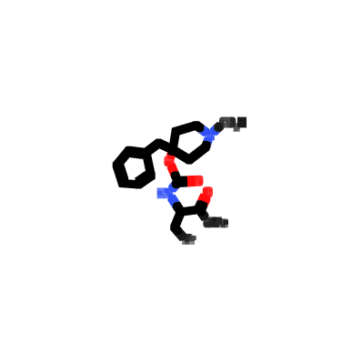 COC(=O)C(CC(C)C)NC(=O)OC1(Cc2ccccc2)CCN(C(=O)O)CC1